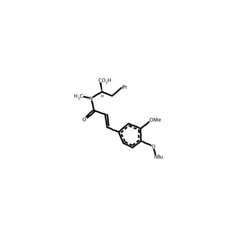 CCCCOc1ccc(C=CC(=O)N(C)[C@H](CC(C)C)C(=O)O)cc1OC